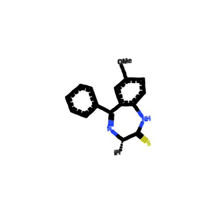 COc1ccc2c(c1)C(c1ccccc1)=N[C@@H](C(C)C)C(=S)N2